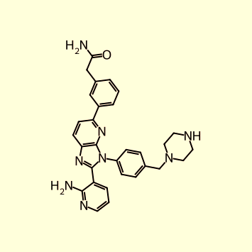 NC(=O)Cc1cccc(-c2ccc3nc(-c4cccnc4N)n(-c4ccc(CN5CCNCC5)cc4)c3n2)c1